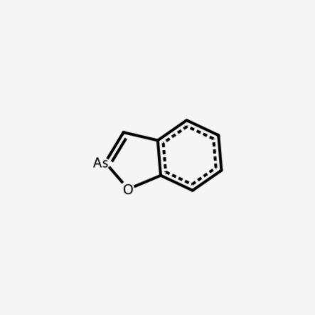 C1=[As]Oc2ccccc21